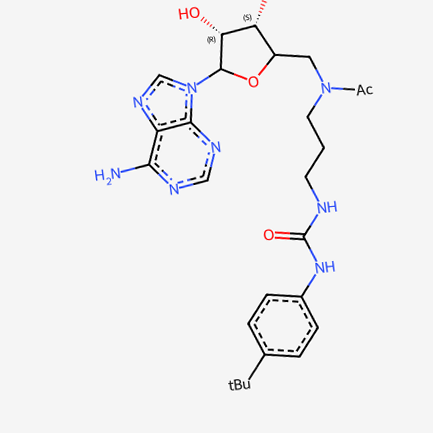 CC(=O)N(CCCNC(=O)Nc1ccc(C(C)(C)C)cc1)CC1OC(n2cnc3c(N)ncnc32)[C@H](O)[C@@H]1O